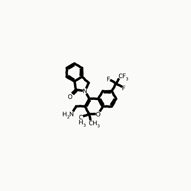 CC1(C)Oc2ccc(C(F)(F)C(F)(F)F)cc2C(N2Cc3ccccc3C2=O)=C1CN